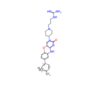 C=C(/C=C\C(=C/C)c1ccc2c(c1)Nc1nc(=O)n(C3CCN(CCCNC(=N)N)CC3)cc1O2)C(F)(F)F